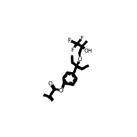 C=C(C)C(=O)Oc1ccc(C(CC)(CC)OCC(C)(O)C(F)(F)F)cc1